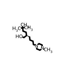 CN1CCN(CCCC[C@@H](CO)CCC(C)(C)C)CC1